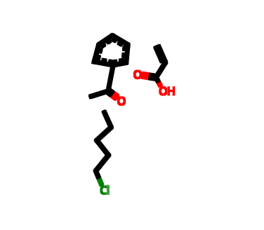 C=CC(=O)O.CC(=O)c1ccccc1.CCCCCCl